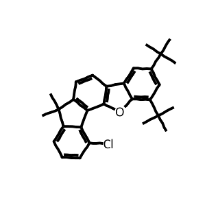 CC(C)(C)c1cc(C(C)(C)C)c2oc3c4c(ccc3c2c1)C(C)(C)c1cccc(Cl)c1-4